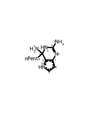 CCCCCC1(N)NC(N)=Nc2cc[nH]c21